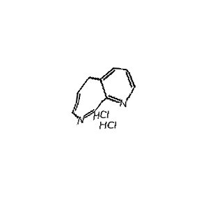 C1=CN=Cc2ncccc2C1.Cl.Cl